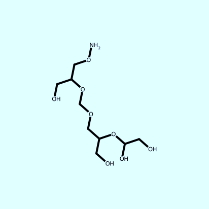 NOCC(CO)OCOCC(CO)OC(O)CO